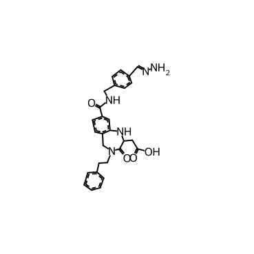 NN=Cc1ccc(CNC(=O)c2ccc3c(c2)NC(CC(=O)O)C(=O)N(CCc2ccccc2)C3)cc1